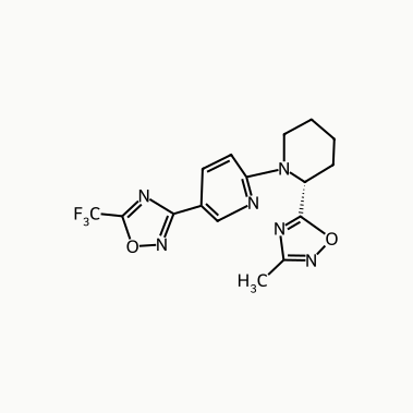 Cc1noc([C@H]2CCCCN2c2ccc(-c3noc(C(F)(F)F)n3)cn2)n1